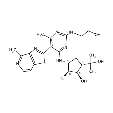 Cc1nc(NCCO)nc(N[C@@H]2C[C@H](C(C)(C)O)[C@@H](O)[C@H]2O)c1-c1nc2c(C)nccc2s1